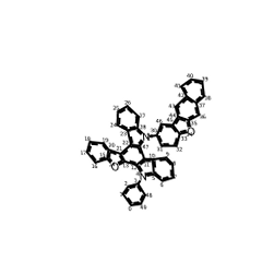 c1ccc(-n2c3ccccc3c3c2c2oc4ccccc4c2c2c4ccccc4n(-c4ccc5oc6cc7ccccc7cc6c5c4)c23)cc1